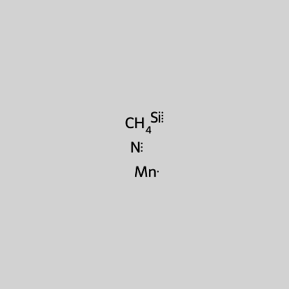 C.[Mn].[N].[Si]